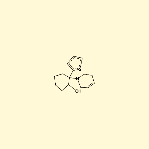 OC1CCCCC1(c1cccs1)N1CC=CCC1